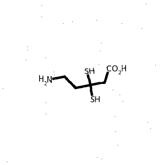 NCCC(S)(S)CC(=O)O